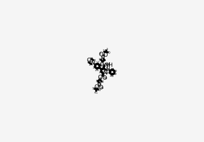 CC(C)(C)OC(=O)N1CC(OC(=N)c2c(-c3ccc(N4CCOCC4)cc3)cc(C(=O)OC3CN(C(=O)OC(C)(C)C)C3)nc2Nc2ccccc2)C1